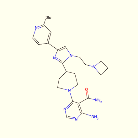 CC(C)(C)c1cc(-c2cn(CCN3CCC3)c(C3CCN(c4ncnc(N)c4C(N)=O)CC3)n2)ccn1